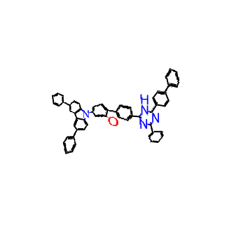 c1ccc(C2=NC(c3ccc(-c4ccccc4)cc3)NC(c3ccc4c(c3)oc3cc(-n5c6ccc(-c7ccccc7)cc6c6cc(-c7ccccc7)ccc65)ccc34)=N2)cc1